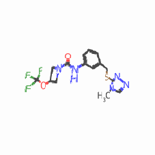 Cn1cnnc1SCc1cccc(NC(=O)N2CC(OC(F)(F)F)C2)c1